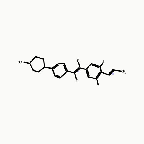 CC1CCC(c2ccc(/C(F)=C(\F)c3cc(F)c(/C=C/C(F)(F)F)c(F)c3)cc2)CC1